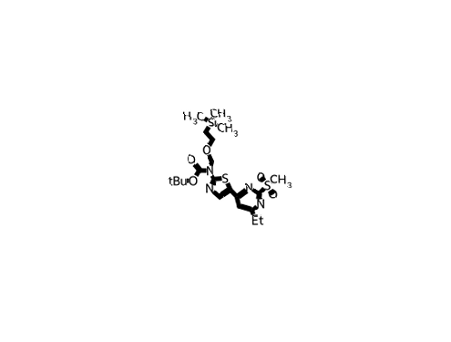 CCc1cc(-c2cnc(N(COCC[Si](C)(C)C)C(=O)OC(C)(C)C)s2)nc(S(C)(=O)=O)n1